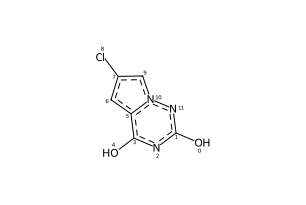 Oc1nc(O)c2cc(Cl)cn2n1